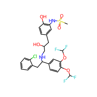 CS(=O)(=O)Nc1cc(CC(O)CNC(Cc2ccccc2Cl)c2ccc(OC(F)F)c(OC(F)F)c2)ccc1O